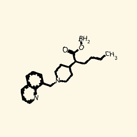 BOC(=O)C(CCCC)C1CCN(Cc2cccc3cccnc23)CC1